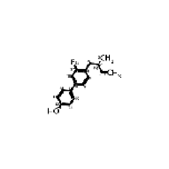 CC[C@H](C)Cc1ccc(-c2ccc(O)cc2)cc1F